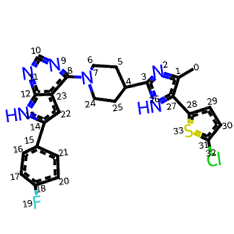 Cc1nc(C2CCN(c3ncnc4[nH]c(-c5ccc(F)cc5)cc34)CC2)[nH]c1-c1ccc(Cl)s1